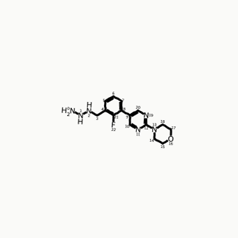 NNNCc1cccc(-c2cnc(N3CCOCC3)nc2)c1F